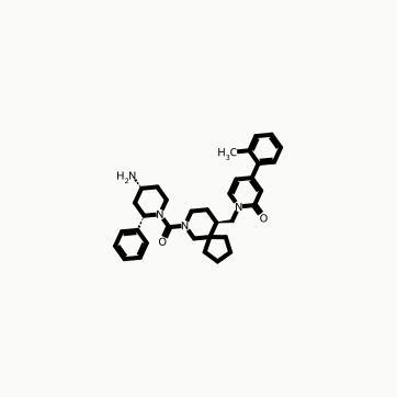 Cc1ccccc1-c1ccn(C[C@@H]2CCN(C(=O)N3CC[C@@H](N)C[C@H]3c3ccccc3)CC23CCCC3)c(=O)c1